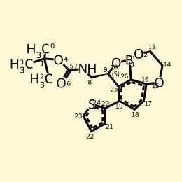 CC(C)(C)OC(=O)NC[C@H]1OB2OCCOc3ccc(-c4cccs4)c1c32